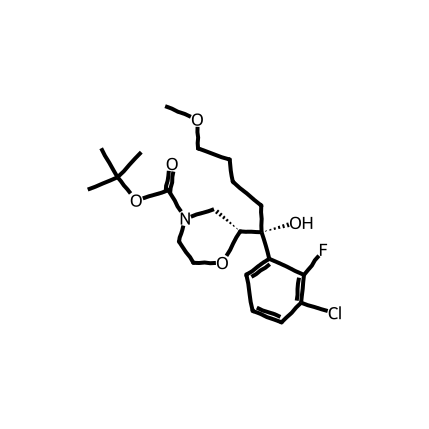 COCCCC[C@@](O)(c1cccc(Cl)c1F)[C@H]1CN(C(=O)OC(C)(C)C)CCO1